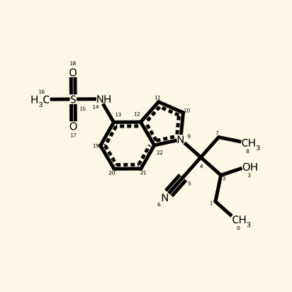 CCC(O)C(C#N)(CC)n1ccc2c(NS(C)(=O)=O)cccc21